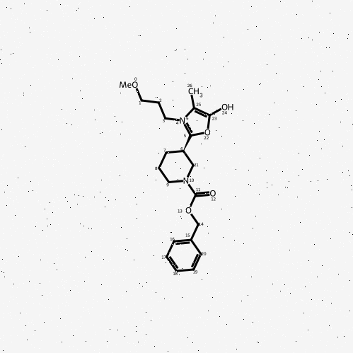 COCCC[n+]1c([C@@H]2CCCN(C(=O)OCc3ccccc3)C2)oc(O)c1C